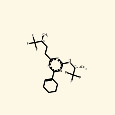 C[C@@H](CCc1nc(N[C@H](C)C(F)(F)F)nc(C2=CCCCC2)n1)C(F)(F)F